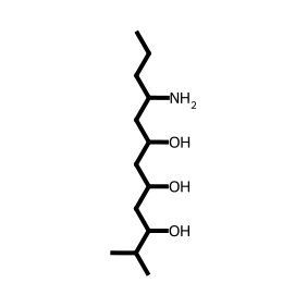 CCCC(N)CC(O)CC(O)CC(O)C(C)C